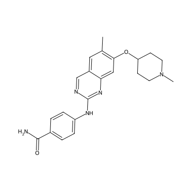 Cc1cc2cnc(Nc3ccc(C(N)=O)cc3)nc2cc1OC1CCN(C)CC1